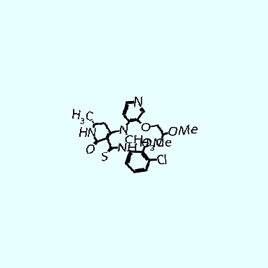 COc1c(Cl)cccc1NC(=S)C1=C(N(C)c2ccncc2OCC(C)OC)C[C@@H](C)NC1=O